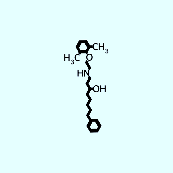 Cc1cccc(C)c1OCCNCCC(O)CCCCCc1ccccc1